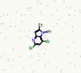 CCc1cc2nc(Br)cc(Br)c2n1C(C)C